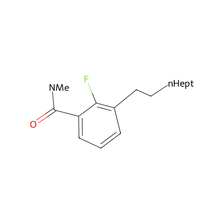 CCCCCCCCCc1cccc(C(=O)NC)c1F